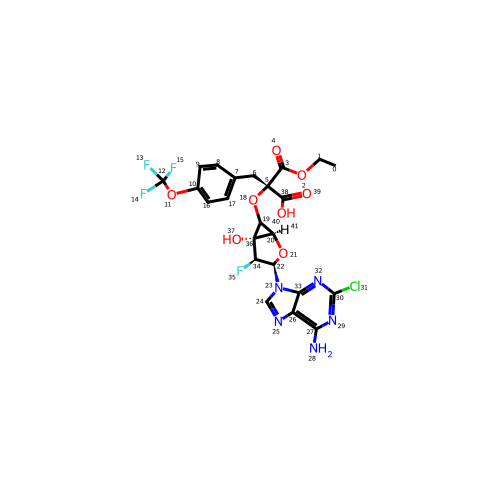 CCOC(=O)[C@@](Cc1ccc(OC(F)(F)F)cc1)(OC1[C@H]2O[C@@H](n3cnc4c(N)nc(Cl)nc43)[C@@H](F)[C@@]12O)C(=O)O